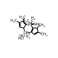 CC1=CC(C)[C]([Zr]([CH3])([CH3])(=[SiH2])[C]2=C(C)C=C(C)C2C)=C1C.Cl.Cl